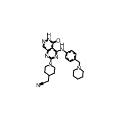 N#CCC1CCN(c2nc(Nc3ccc(CN4CCCCC4)cc3)c3c(=O)[nH]ncc3n2)CC1